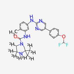 [2H]C1N(C(=O)Nc2cc(Nc3ncc(-c4ccc(OC(F)F)cc4)cn3)ccc2C)CC2(N([2H])C1([2H])[2H])C([2H])([2H])C2([2H])[2H]